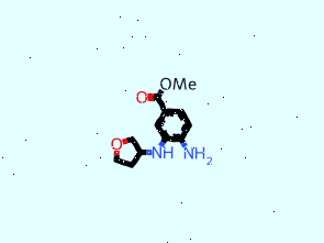 COC(=O)c1ccc(N)c(NC2CCOC2)c1